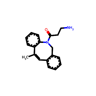 C/C1=C/c2ccccc2CN(C(=O)CCN)c2ccccc21